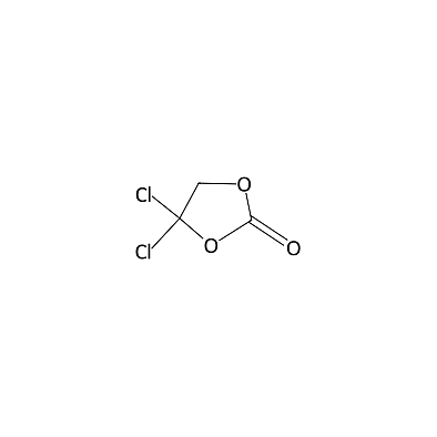 O=C1OCC(Cl)(Cl)O1